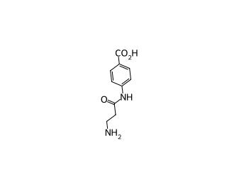 NCCC(=O)Nc1ccc(C(=O)O)cc1